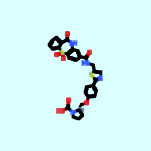 O=C(NCc1cnc(-c2ccc(OC[C@@H]3CCCN3C(=O)O)cc2)s1)c1ccc2c(c1)NC(=O)c1ccccc1S2(=O)=O